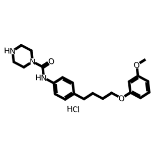 COc1cccc(OCCCCc2ccc(NC(=O)N3CCNCC3)cc2)c1.Cl